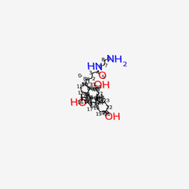 C[C@H](CCC(=O)NCCN)[C@H]1CC[C@H]2[C@@H]3[C@H](O)CC4C[C@H](O)CC[C@]4(C)[C@H]3C[C@H](O)[C@]12C